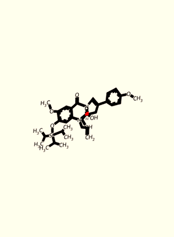 C=CCN(C(=O)O)c1cc(O[Si](C(C)C)(C(C)C)C(C)C)c(OC)cc1C(=O)N1C=C(c2ccc(OC)cc2)C[C@H]1CO